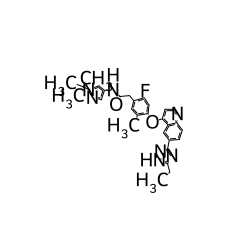 CCc1nc(-c2ccc3nccc(Oc4cc(F)c(CC(=O)Nc5cnn(C(C)(C)C)c5)cc4C)c3c2)n[nH]1